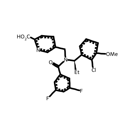 CC[C@H](c1cccc(OC)c1Cl)N(Cc1ccc(C(=O)O)nc1)C(=O)c1cc(F)cc(F)c1